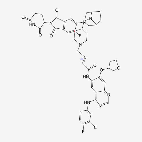 O=C(/C=C/CN1CCC(CN2C3CCC2CN(c2cc4c(cc2F)C(=O)N(C2CCC(=O)NC2=O)C4=O)C3)CC1)Nc1cc2c(Nc3ccc(F)c(Cl)c3)ncnc2cc1OC1CCOC1